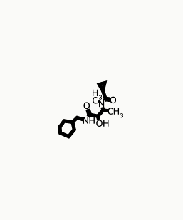 CC(C(O)C(=O)NCC1CCCCC1)N(C)C(=O)C1CC1